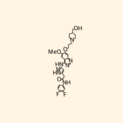 COc1cc2c(Nc3cc(CC(=O)Nc4ccc(F)c(F)c4)[nH]n3)ncnc2cc1OCCCN1CCC(CO)CC1